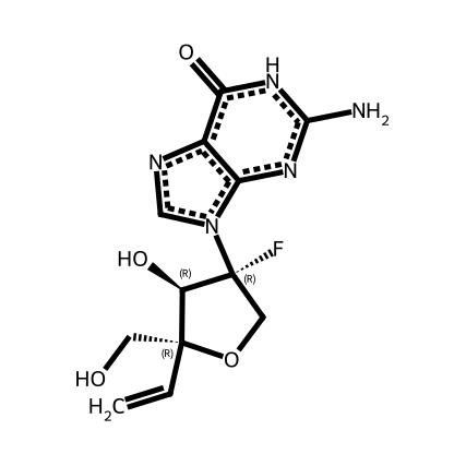 C=C[C@]1(CO)OC[C@](F)(n2cnc3c(=O)[nH]c(N)nc32)[C@@H]1O